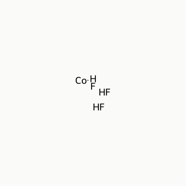 F.F.F.[Co]